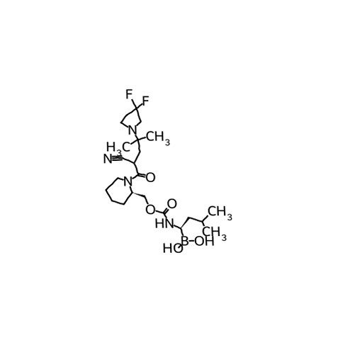 CC(C)C[C@H](NC(=O)OC[C@H]1CCCCN1C(=O)C(C#N)CC(C)(C)N1CCC(F)(F)C1)B(O)O